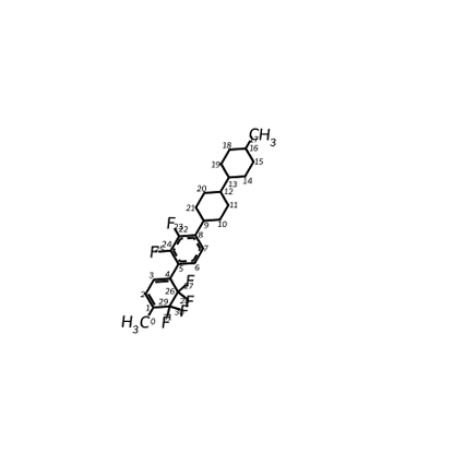 CC1=CC=C(c2ccc(C3CCC(C4CCC(C)CC4)CC3)c(F)c2F)C(F)(F)C1(F)F